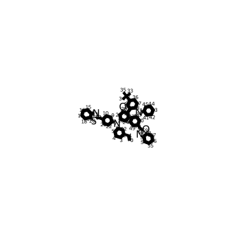 C=Cc1cccc(N(c2ccc(-c3nc4ccccc4s3)cc2)c2ccc3c(c2)oc2c(C(C)(C)C)ccc(N(c4ccccc4)c4cccc(-c5nc6ccccc6o5)c4)c23)c1